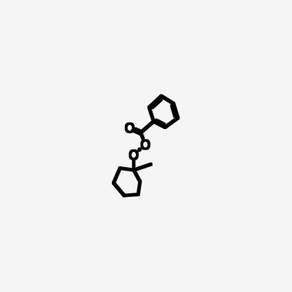 CC1(OOC(=O)c2ccccc2)CCCCC1